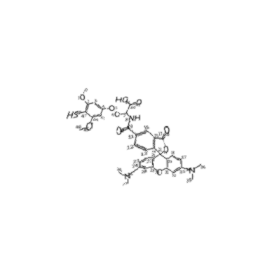 COc1cc(OOC(NC(=O)c2ccc3c(c2)C(=O)OC32c3ccc(N(C)C)cc3Oc3cc(N(C)C)ccc32)C(=O)O)cc(OC)c1S